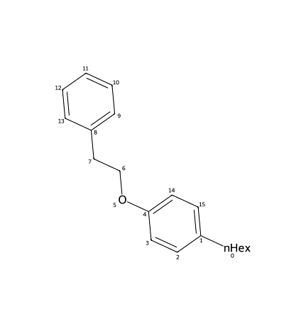 [CH2]CCCCCc1ccc(OCCc2ccccc2)cc1